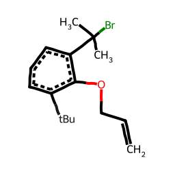 C=CCOc1c(C(C)(C)C)cccc1C(C)(C)Br